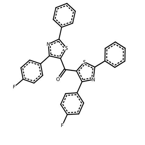 O=C(c1sc(-c2ccccc2)nc1-c1ccc(F)cc1)c1sc(-c2ccccc2)nc1-c1ccc(F)cc1